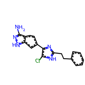 Nc1n[nH]c2cc(-c3nc(CCc4ccccc4)[nH]c3Cl)ccc12